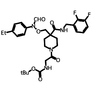 CCc1ccc(N(C=O)OCC2(C(=O)NCc3cccc(F)c3F)CCN(C(=O)CNC(=O)OC(C)(C)C)CC2)cc1